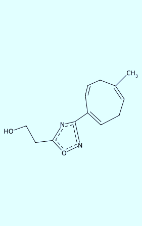 C/C1=C/C/C=C(c2noc(CCO)n2)\C=C/C1